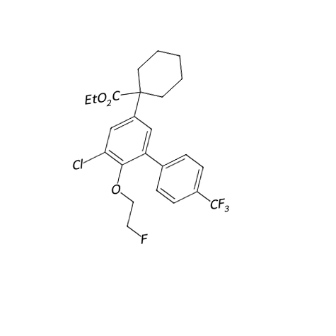 CCOC(=O)C1(c2cc(Cl)c(OCCF)c(-c3ccc(C(F)(F)F)cc3)c2)CCCCC1